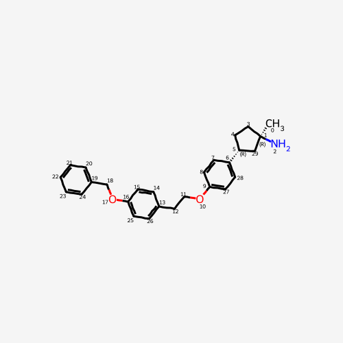 C[C@@]1(N)CC[C@@H](c2ccc(OCCc3ccc(OCc4ccccc4)cc3)cc2)C1